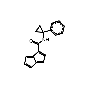 O=C(NC1(c2ccccc2)CC1)C1=CC=C2C=CC=C21